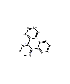 C/C=C(\C(=N/C)c1ccccc1)c1ccncn1